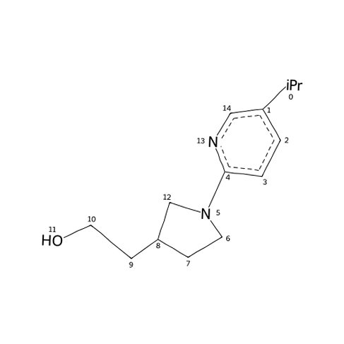 CC(C)c1ccc(N2CCC(CCO)C2)nc1